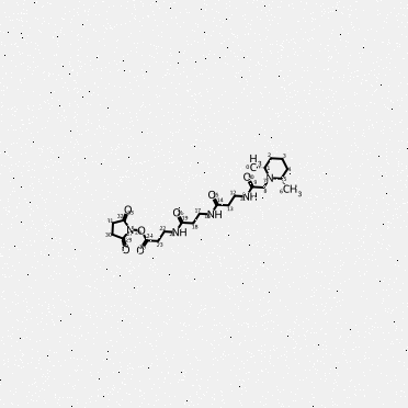 C[C@@H]1CCC[C@H](C)N1CC(=O)NCCC(=O)NCCC(=O)NCCC(=O)ON1C(=O)CCC1=O